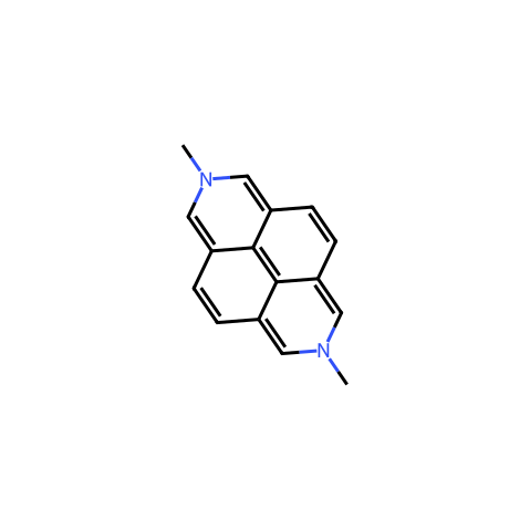 CN1C=c2ccc3c4c(ccc(c24)=C1)=CN(C)C=3